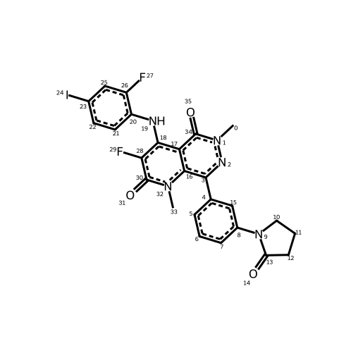 Cn1nc(-c2cccc(N3CCCC3=O)c2)c2c(c(Nc3ccc(I)cc3F)c(F)c(=O)n2C)c1=O